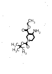 CCOC(=O)C1=C(N)CCN(C(=O)OC(C)(C)C)C1